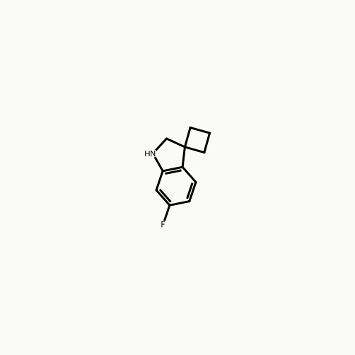 Fc1ccc2c(c1)NCC21CCC1